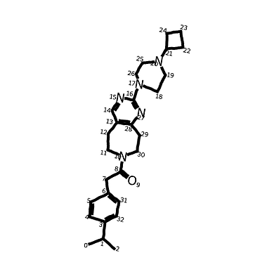 CC(C)c1ccc(CC(=O)N2CCc3cnc(N4CCN(C5CCC5)CC4)nc3CC2)cc1